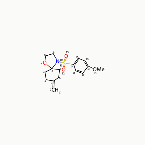 C=C1CCC2(CC1)OCCN2S(=O)(=O)c1ccc(OC)cc1